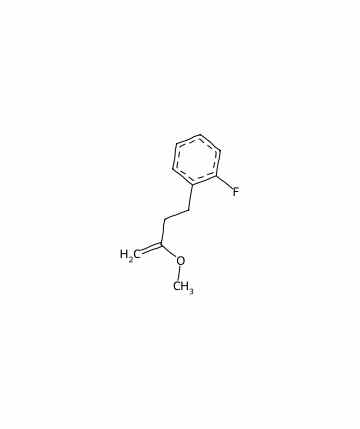 C=C(CCc1ccccc1F)OC